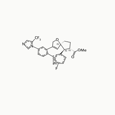 COC(=O)[C@H]1CC[C@@]2(C=C(c3cc(-n4cncc4C(F)(F)F)ccc3SC(C)C)CO2)[C@@H]1c1ccc(F)cc1